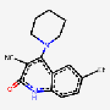 CCc1ccc2[nH]c(=O)c(C#N)c(N3CCCCC3)c2c1